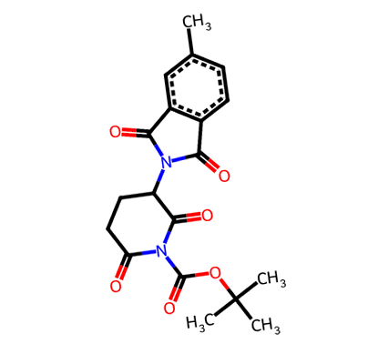 Cc1ccc2c(c1)C(=O)N(C1CCC(=O)N(C(=O)OC(C)(C)C)C1=O)C2=O